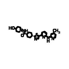 Cc1ccnc(Nc2cccc(-c3cnc([C@H]4CC[C@H](C(=O)NN5CCC(O)CC5)CC4)s3)n2)c1